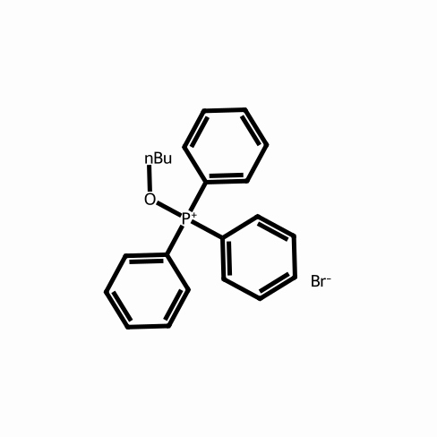 CCCCO[P+](c1ccccc1)(c1ccccc1)c1ccccc1.[Br-]